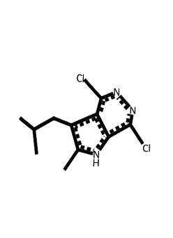 Cc1[nH]c2c(Cl)nnc(Cl)c2c1CC(C)C